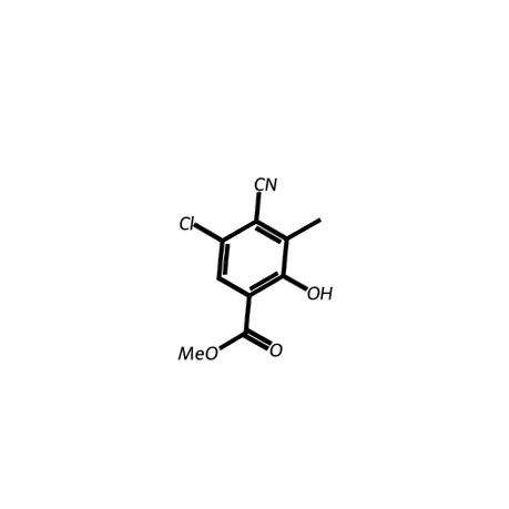 COC(=O)c1cc(Cl)c(C#N)c(C)c1O